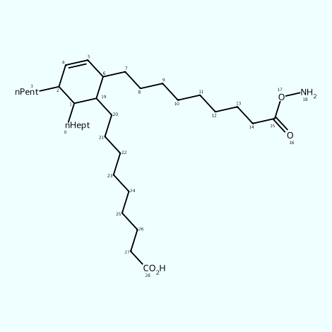 CCCCCCCC1C(CCCCC)C=CC(CCCCCCCCC(=O)ON)C1CCCCCCCCC(=O)O